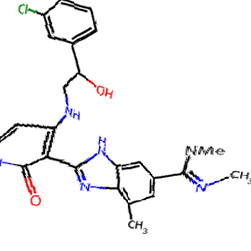 C/N=C(\NC)c1cc(C)c2nc(-c3c(NCC(O)c4cccc(Cl)c4)cc[nH]c3=O)[nH]c2c1